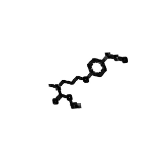 CN(CCCOc1ccc(N=C=O)cc1)C(=O)OC(C)(C)C